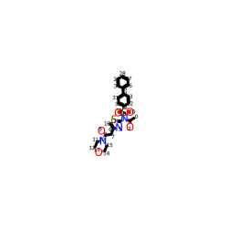 CC(=O)N(c1nc(CC(=O)N2CCOCC2)cs1)S(=O)(=O)c1ccc(-c2ccccc2)cc1